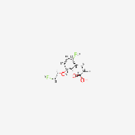 CC(Cc1cc(OCCF)ccc1F)C(=O)O